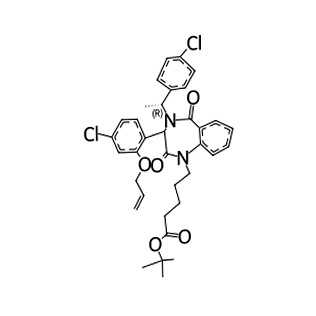 C=CCOc1cc(Cl)ccc1C1C(=O)N(CCCCC(=O)OC(C)(C)C)c2ccccc2C(=O)N1[C@H](C)c1ccc(Cl)cc1